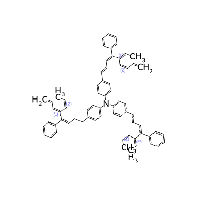 C=C/C=C\C(=C/C)C(=CC=Cc1ccc(N(c2ccc(C=CC=C(C(/C=C\C)=C/C)c3ccccc3)cc2)c2ccc(CCC=C(C(/C=C\C)=C/C=C)c3ccccc3)cc2)cc1)c1ccccc1